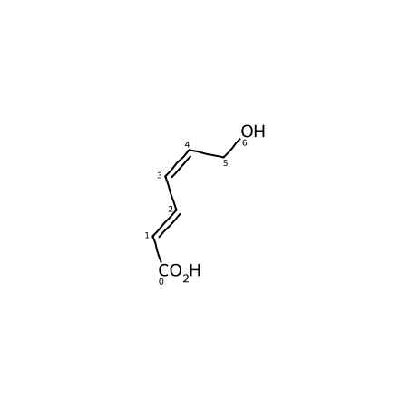 O=C(O)/C=C/C=C\CO